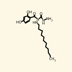 CCCCCCCCCCCCNN(C(=O)NN)C(=O)c1ccc(O)cc1O